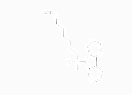 CC(C)(C)OCCCCCC[Si](C)(Cl)C1c2ccccc2-c2ccccc21